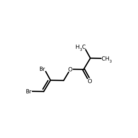 CC(C)C(=O)OCC(Br)=CBr